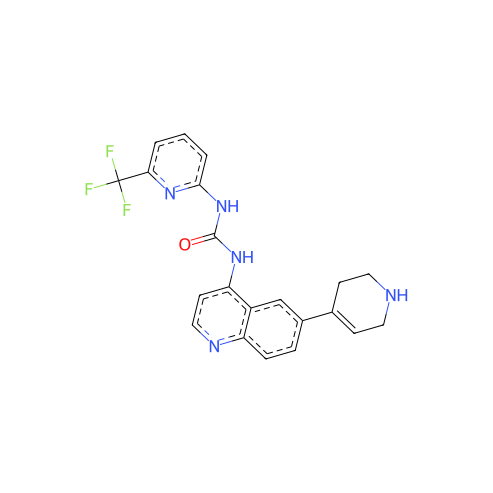 O=C(Nc1cccc(C(F)(F)F)n1)Nc1ccnc2ccc(C3=CCNCC3)cc12